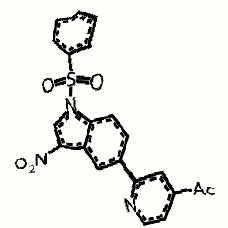 CC(=O)c1ccnc(-c2ccc3c(c2)c([N+](=O)[O-])cn3S(=O)(=O)c2ccccc2)c1